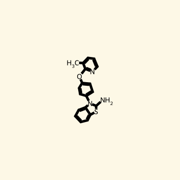 Cc1cccnc1Oc1ccc(N2c3ccccc3SC2N)cc1